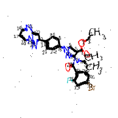 CCOC(=O)c1cn(-c2ccc(-c3cc4ncccn4n3)cc2)nc1N(C(=O)c1ccc(Br)cc1F)C(C)C